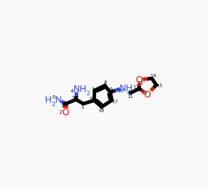 NC(=O)C(N)Cc1ccc(NCC2OCCO2)cc1